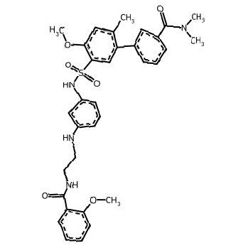 COc1ccccc1C(=O)NCCNc1cccc(NS(=O)(=O)c2cc(-c3cccc(C(=O)N(C)C)c3)c(C)cc2OC)c1